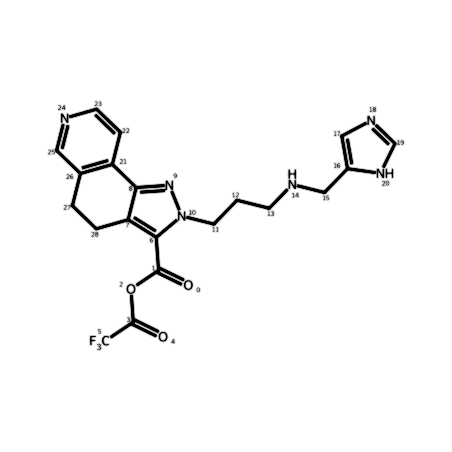 O=C(OC(=O)C(F)(F)F)c1c2c(nn1CCCNCc1cnc[nH]1)-c1ccncc1CC2